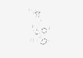 CC(C)(c1ccc(Cl)c(Cl)c1)c1cnc(C(F)CC2CCN(S(C)(=O)=O)CC2)n1-c1ccc(F)cc1